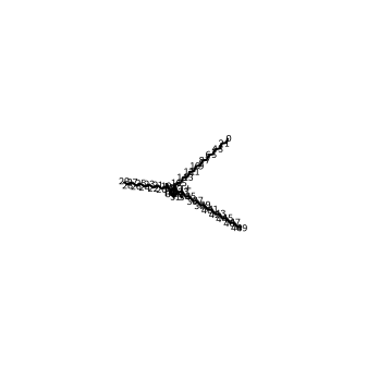 CCCCCCCCCCCCCCCCCc1n(CCCCCCCCCCC)cc[n+]1CCCCCCCCCCCCCCCCC